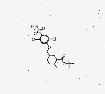 CCC(COc1cc(Cl)c(S(N)(=O)=O)cc1Cl)CC(CC)C(=O)OC(C)(C)C